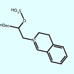 CCCCCCCCCCC(C[N+]1=Cc2ccccc2CC1)OS(=O)(=O)O